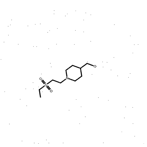 CCS(=O)(=O)CCN1CCC(C[O])CC1